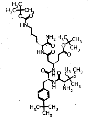 CSC(C)(C)[C@H](N)C(=O)N[C@@H](Cc1ccc(C(C)(C)C)cc1)C(=O)N[C@@H](CCC(=O)OC(C)(C)C)CC(=O)N[C@H](CCCCNC(=O)OC(C)(C)C)C(N)=O